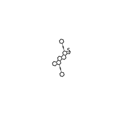 C(#Cc1cc2c(ccc3c4cc(C#Cc5ccccc5)c5sccc5c4ccc23)c2ccccc12)c1ccccc1